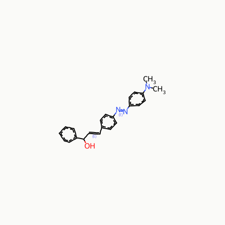 CN(C)c1ccc(/N=N/c2ccc(/C=C/C(O)c3ccccc3)cc2)cc1